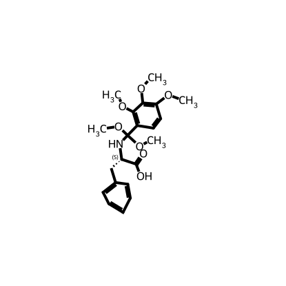 COc1ccc(C(N[C@@H](Cc2ccccc2)C(=O)O)(OC)OC)c(OC)c1OC